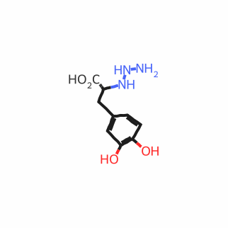 NNNC(Cc1ccc(O)c(O)c1)C(=O)O